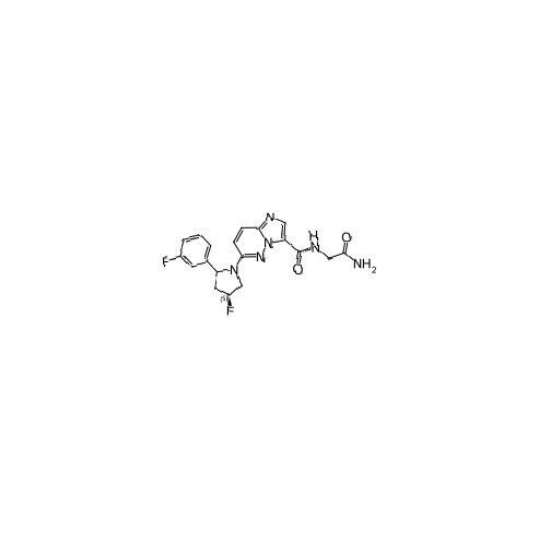 NC(=O)CNC(=O)c1cnc2ccc(N3C[C@@H](F)CC3c3cccc(F)c3)nn12